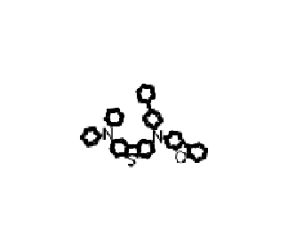 c1ccc(-c2ccc(N(c3ccc4c(c3)oc3ccccc34)c3ccc4sc5ccc(N(c6ccccc6)c6ccccc6)cc5c4c3)cc2)cc1